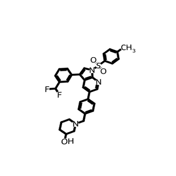 Cc1ccc(S(=O)(=O)n2cc(-c3cccc(C(F)F)c3)c3cc(-c4ccc(CN5CCCC(O)C5)cc4)cnc32)cc1